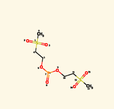 CS(=O)(=O)CCO[P](=O)OCCS(C)(=O)=O